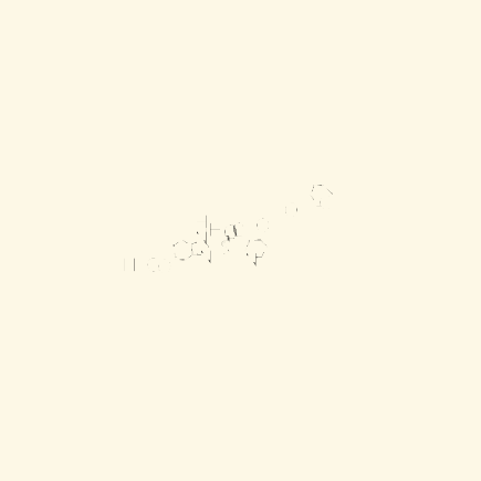 COc1ccc2[nH]c([S+]([O-])Cc3nccc(OCCOCc4ccccc4)c3C)nc2c1